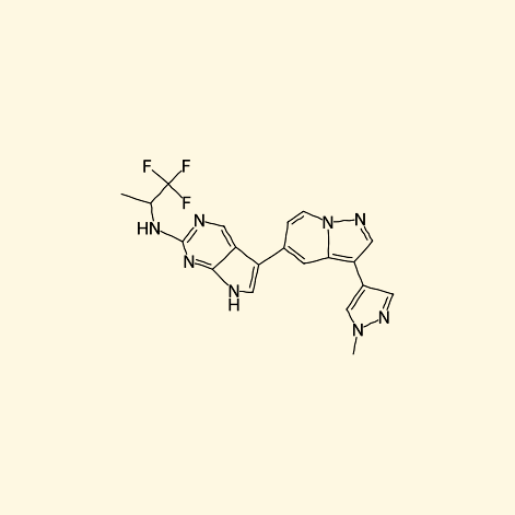 CC(Nc1ncc2c(-c3ccn4ncc(-c5cnn(C)c5)c4c3)c[nH]c2n1)C(F)(F)F